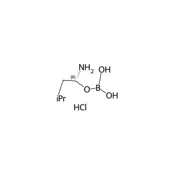 CC(C)C[C@H](N)OB(O)O.Cl